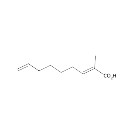 C=CCCCCC=C(C)C(=O)O